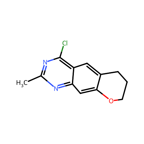 Cc1nc(Cl)c2cc3c(cc2n1)OCCC3